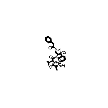 CNC(C)C(=O)N[C@H](C(=O)N1c2ncccc2CC1CNC(=O)Cc1ccccc1)C(C)C.Cl